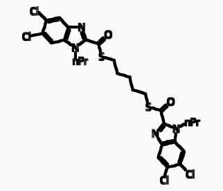 CCCn1c(C(=O)SCCCCCSC(=O)c2nc3cc(Cl)c(Cl)cc3n2CCC)nc2cc(Cl)c(Cl)cc21